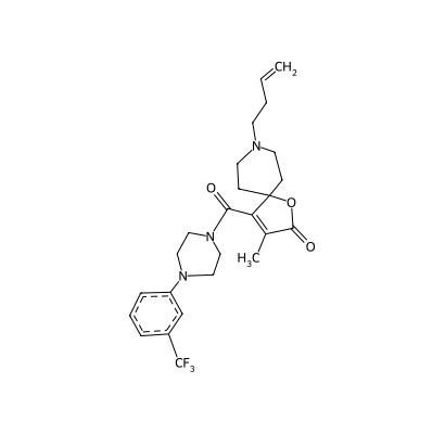 C=CCCN1CCC2(CC1)OC(=O)C(C)=C2C(=O)N1CCN(c2cccc(C(F)(F)F)c2)CC1